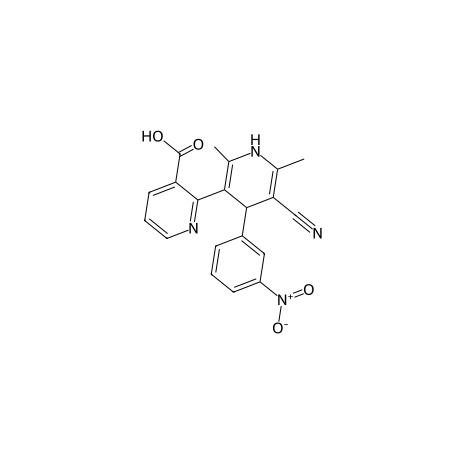 CC1=C(C#N)C(c2cccc([N+](=O)[O-])c2)C(c2ncccc2C(=O)O)=C(C)N1